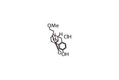 COCCN1CC[C@]23CC(=O)CC[C@H]2[C@H]1Cc1ccc(O)cc13.Cl